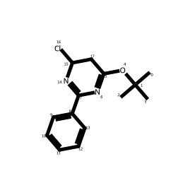 CC(C)(C)OC1=NC(c2ccccc2)=NC(Cl)C1